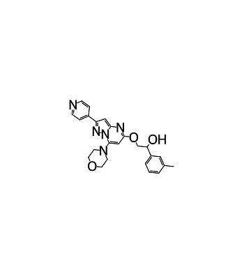 Cc1cccc(C(O)COc2cc(N3CCOCC3)n3nc(-c4ccncc4)cc3n2)c1